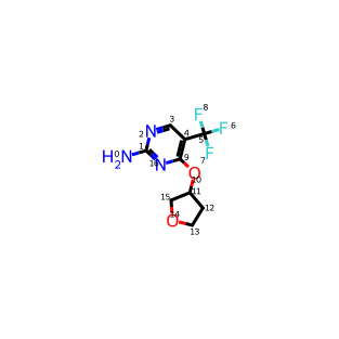 Nc1ncc(C(F)(F)F)c(OC2CCOC2)n1